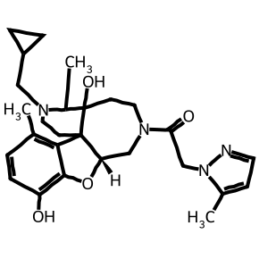 Cc1ccc(O)c2c1C13CCN(CC4CC4)C(C)C1(O)CCN(C(=O)Cn1nccc1C)C[C@@H]3O2